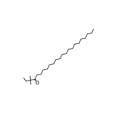 CCCCCCCCCCCCCCCCCCCC(=O)C(C)(C)CC